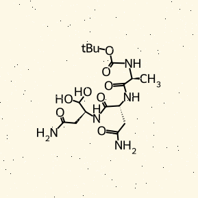 C[C@H](NC(=O)OC(C)(C)C)C(=O)N[C@H](CC(N)=O)C(=O)N[C@@H](CC(N)=O)C(O)O